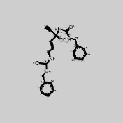 C#CC(C=CCNC(=O)OCc1ccccc1)(NC(=O)OCc1ccccc1)C(=O)O